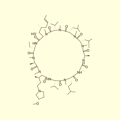 C/C=C/C[C@@H](C)[C@@H](O)[C@H]1C(=O)N[C@@H](CC)C(=O)N(C)[C@H](C)C(=O)N(C)[C@@H]([C@H](C)CCN2CC[C@H](OC)C2)C(=O)N[C@@H](C(C)C)C(=O)N(C)[C@@H](CCC(C)C)C(=O)N[C@@H](C)C(=O)N[C@H](C)C(=O)N(C)[C@@H](CC(C)C)C(=O)N(C)[C@@H](CC(C)C)C(=O)N(C)[C@@H](C(C)C)C(=O)N1C